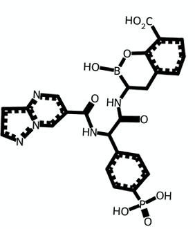 O=C(NC(C(=O)NC1Cc2cccc(C(=O)O)c2OB1O)c1ccc(P(=O)(O)O)cc1)c1cnc2ccnn2c1